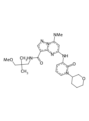 CNc1cc(Nc2cccn(C3CCCOC3)c2=O)nc2c(C(=O)NCC(C)(C)COC)cnn12